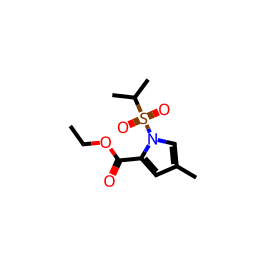 CCOC(=O)c1cc(C)cn1S(=O)(=O)C(C)C